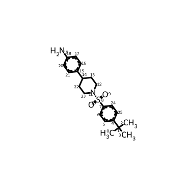 CC(C)(C)c1ccc(S(=O)(=O)N2CCC(c3ccc(N)cc3)CC2)cc1